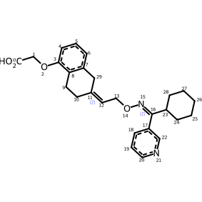 O=C(O)COc1cccc2c1CC/C(=C/CO/N=C(\c1cccnc1)C1CCCCC1)C2